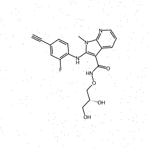 C#Cc1ccc(Nc2c(C(=O)NOC[C@H](O)CO)c3cccnc3n2C)c(F)c1